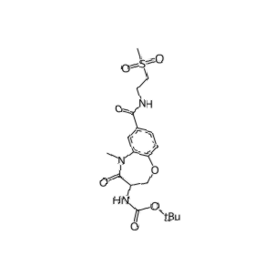 CN1C(=O)C(NC(=O)OC(C)(C)C)COc2ccc(C(=O)NCCS(C)(=O)=O)cc21